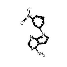 Nc1ncnc2c1ccn2-c1cccc([N+](=O)[O-])c1